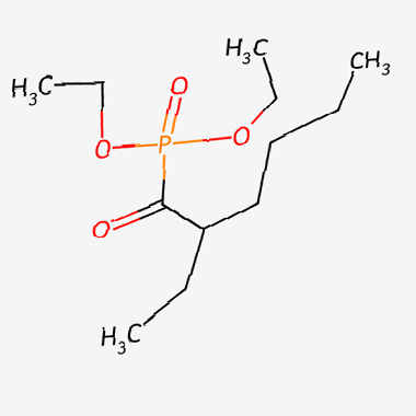 CCCCC(CC)C(=O)P(=O)(OCC)OCC